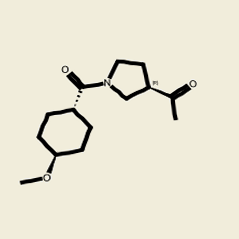 CO[C@H]1CC[C@H](C(=O)N2CC[C@@H](C(C)=O)C2)CC1